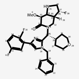 CO[C@@H]1C(=O)N([C@@H](c2nc(-c3cc(F)ccc3F)cn2Cc2ccccc2)C2CCOCC2)C[C@@H]2C1NC[C@@H]2F